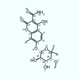 CO[C@@H]1[C@H](O)[C@@H](O)[C@H](Oc2ccc3c(O)c(C(N)=O)c(=O)oc3c2C)OC1(C)C